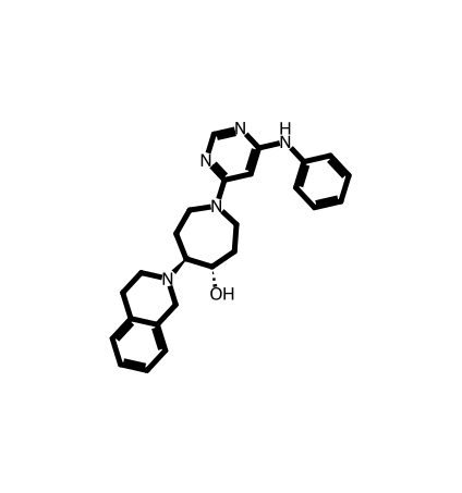 O[C@H]1CCN(c2cc(Nc3ccccc3)ncn2)CC[C@@H]1N1CCc2ccccc2C1